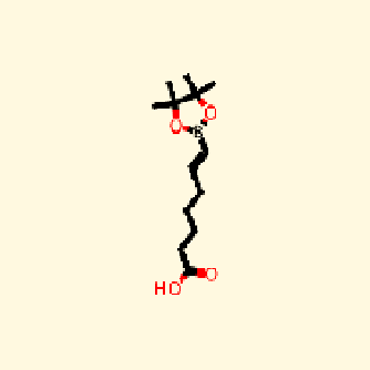 CC1(C)OB(/C=C/CCCCC(=O)O)OC1(C)C